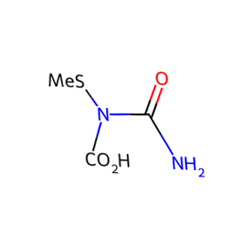 CSN(C(N)=O)C(=O)O